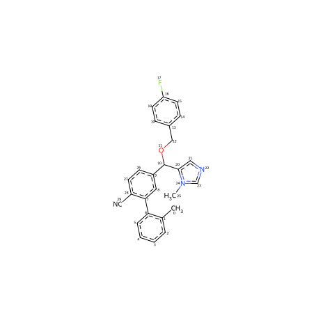 Cc1ccccc1-c1cc(C(OCc2ccc(F)cc2)c2cncn2C)ccc1C#N